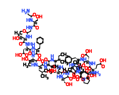 CC[C@H](C)[C@H](NC(=O)[C@@H](NC(=O)[C@H](CC(C)C)NC(=O)[C@@H](NC(=O)[C@H](Cc1ccccc1)NC(=O)[C@H](CC(=O)O)NC(=O)[C@@H](NC(=O)CNC(=O)[C@H](CO)NC(=O)CN)[C@@H](C)O)[C@@H](C)O)[C@@H](C)O)C(=O)N[C@@H](CO)C(=O)N[C@@H](CO)C(=O)N[C@@H](CC(C)C)C(=O)N[C@@H](CCC(N)=O)C(=O)N1CCC[C@H]1C(=O)N[C@@H](CCC(=O)O)C(=O)N[C@@H](CC(=O)O)C(=O)N[C@@H](Cc1ccccc1)C(=O)N[C@@H](C)C(=O)N[C@@H](CC(=O)O)C(=O)O